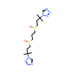 CC(C)(CC[S+]([O-])CCC[S+]([O-])CCC(C)(C)n1cnnn1)n1cnnn1